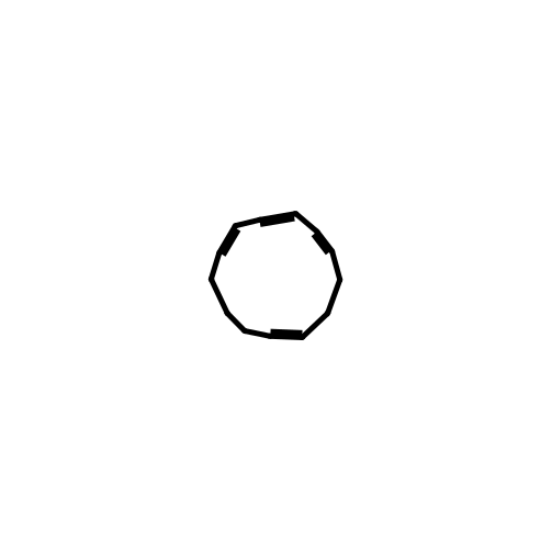 C1=CC=CCCCC=CCCC=C1